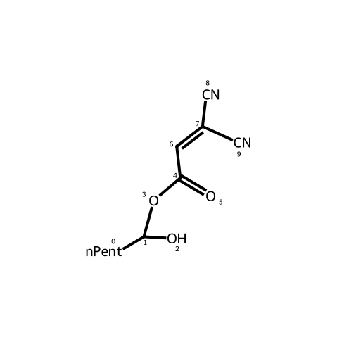 CCCCCC(O)OC(=O)C=C(C#N)C#N